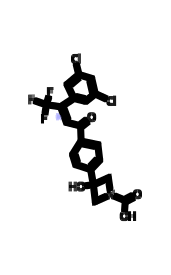 O=C(/C=C(\c1cc(Cl)cc(Cl)c1)C(F)(F)F)c1ccc(C2(O)CN(C(=O)O)C2)cc1